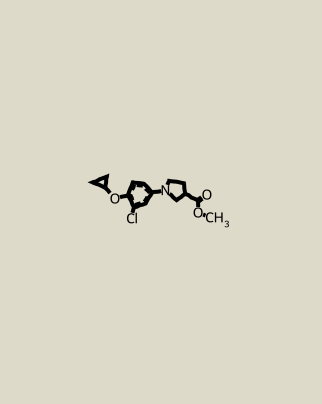 COC(=O)C1CCN(c2ccc(OC3CC3)c(Cl)c2)C1